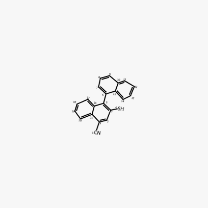 N#Cc1cc(S)c(-c2cccc3ccccc23)c2ccccc12